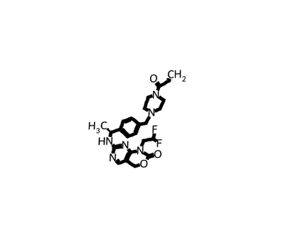 C=CC(=O)N1CCN(Cc2ccc([C@H](C)Nc3ncc4c(n3)N(CC(F)F)C(=O)OC4)cc2)CC1